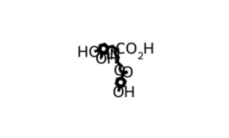 O=C(OCCCN[C@@H](Cc1ccc(O)c(O)c1)C(=O)O)c1ccc(O)cc1